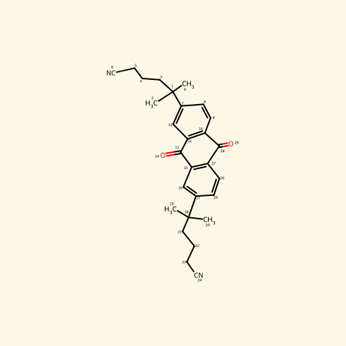 CC(C)(CCCC#N)c1ccc2c(c1)C(=O)c1cc(C(C)(C)CCCC#N)ccc1C2=O